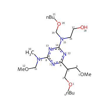 CCCCOCC(COC)c1nc(N(C)COC)nc(N(CCO)COCCCC)n1